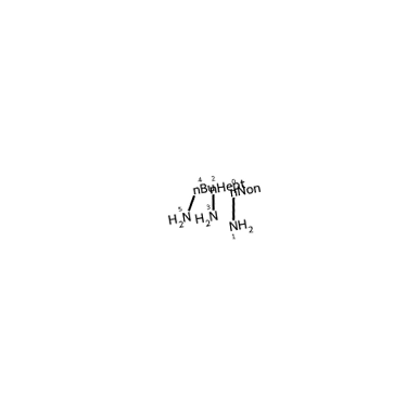 CCCCCCCCCN.CCCCCCCN.CCCCN